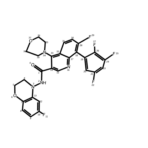 O=C(NN1CCOc2ccc(F)cc21)c1cnc2c(-c3cc(F)cc(F)c3F)c(F)ccc2c1N1CCOCC1